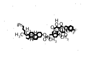 CC(C)CCC[C@@H](C)[C@H]1CC[C@H]2[C@@H]3CC=C4C[C@@H](OC(=O)N(C)CC56CCC(N(C)C(=O)C(=O)N(C)C)(CC5)c5nc(C(=O)NCc7ccc(F)cc7)c(O)c(=O)n5C6)CC[C@]4(C)[C@H]3CC[C@]12C